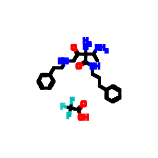 CC(N)C(N)(C(=O)CNCCc1ccccc1)C(=O)NCCCc1ccccc1.O=C(O)C(F)(F)F